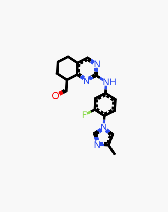 Cc1cn(-c2ccc(Nc3ncc4c(n3)C(C=O)CCC4)cc2F)cn1